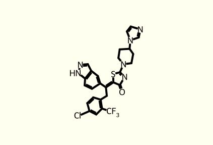 O=C1N=C(N2CCC(n3ccnc3)CC2)SC1=C(Cc1ccc(Cl)cc1C(F)(F)F)c1ccc2[nH]ncc2c1